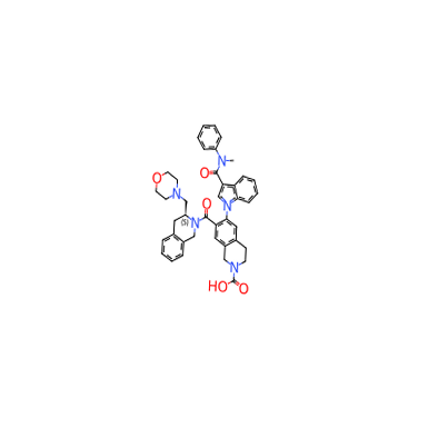 CN(C(=O)c1cn(-c2cc3c(cc2C(=O)N2Cc4ccccc4C[C@H]2CN2CCOCC2)CN(C(=O)O)CC3)c2ccccc12)c1ccccc1